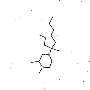 CCCCCC(C)(CCC)N1CCN(C)C(C)C1